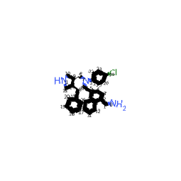 NCc1ccc(CN(C[C@H]2CNC[C@@H]2Cc2ccccc2)c2ccc(Cl)cc2)c2ccccc12